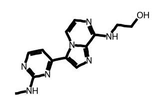 CNc1nccc(-c2cnc3c(NCCO)nccn23)n1